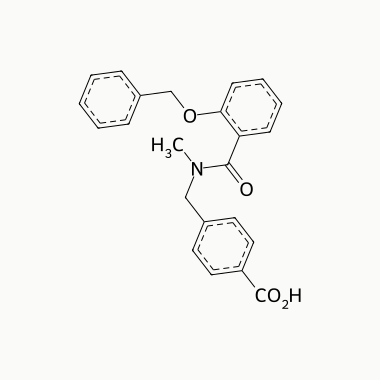 CN(Cc1ccc(C(=O)O)cc1)C(=O)c1ccccc1OCc1ccccc1